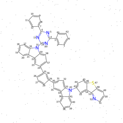 c1ccc(-c2nc(-c3ccccc3)nc(-n3c4ccccc4c4cc(-c5cccc(-c6ccc7c(c6)c6ccccc6n7-c6ccc7sc8cccnc8c7c6)c5)ccc43)n2)cc1